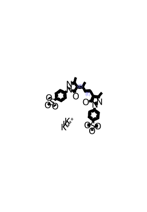 CC1=NN(c2ccc(S(=O)(=O)[O-])cc2)C(=O)/C1=C(C)\C=C\c1c(C)nn(-c2ccc(S(=O)(=O)[O-])cc2)c1[O-].[K+].[K+].[K+]